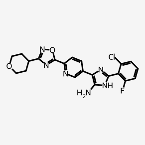 Nc1[nH]c(-c2c(F)cccc2Cl)nc1-c1ccc(-c2nc(C3CCOCC3)no2)nc1